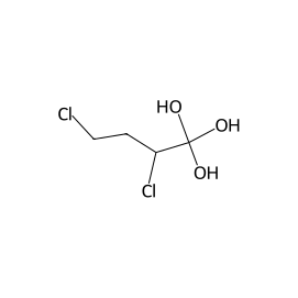 OC(O)(O)C(Cl)CCCl